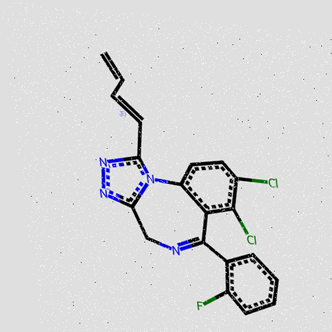 C=C/C=C/c1nnc2n1-c1ccc(Cl)c(Cl)c1C(c1ccccc1F)=NC2